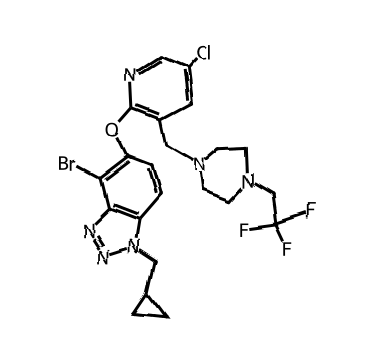 FC(F)(F)CN1CCN(Cc2cc(Cl)cnc2Oc2ccc3c(nnn3CC3CC3)c2Br)CC1